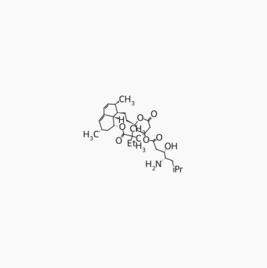 CCC(C)(C)C(=O)O[C@@H]1C[C@H](C)C=C2C=C[C@@H](C)[C@@H](CC[C@@H]3C[C@H](OC(=O)C[C@H](O)[C@@H](N)CC(C)C)CC(=O)O3)[C@@H]21